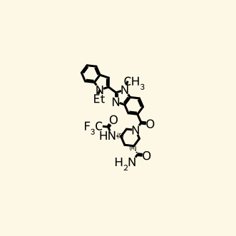 CCn1c(-c2nc3cc(C(=O)N4C[C@@H](NC(=O)C(F)(F)F)C[C@@H](C(N)=O)C4)ccc3n2C)cc2ccccc21